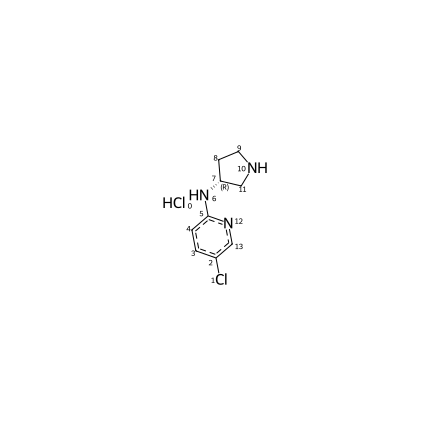 Cl.Clc1ccc(N[C@@H]2CCNC2)nc1